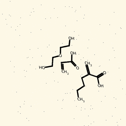 C=C(CCCC)C(=O)O.C=CC(=O)O.OCCOCCO